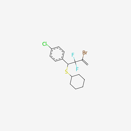 C=C(Br)C(F)(F)C(SC1CCCCC1)c1ccc(Cl)cc1